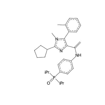 C=C(Nc1ccc(P(=O)(C(C)C)C(C)C)cc1)c1nc(C2CCCC2)n(C)c1-c1ccccc1C